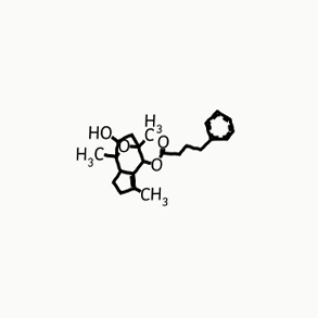 CC1=C2C(OC(=O)CCCc3ccccc3)C3(C)CC(O)C(C)(O3)C2CC1